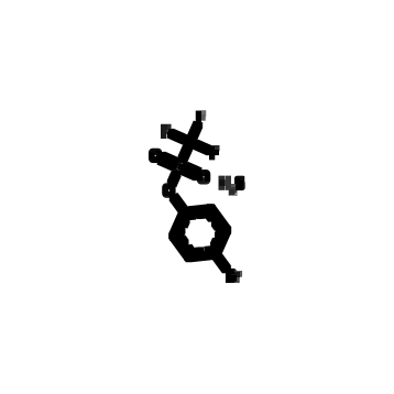 O=S(=O)(Oc1ccc(Br)cc1)C(F)(F)F.S